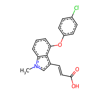 Cn1cc(/C=C/C(=O)O)c2c(Oc3ccc(Cl)cc3)cccc21